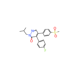 CC(C)Cn1ncc(-c2ccc(S(C)(=O)=O)cc2)c(-c2ccc(F)cc2)c1=O